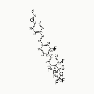 CCOc1ccc(/C=C/c2ccc(-c3cc(F)c(C(F)(F)OC(F)(F)F)c(F)c3)c(F)c2)cc1